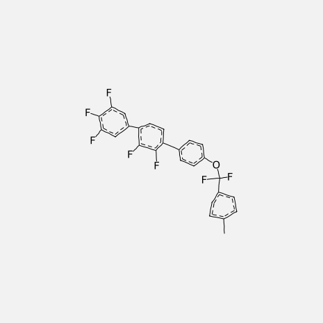 Cc1ccc(C(F)(F)Oc2ccc(-c3ccc(-c4cc(F)c(F)c(F)c4)c(F)c3F)cc2)cc1